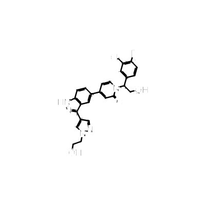 O=c1cc(-c2ccc3[nH]nc(-c4cnn(CCO)c4)c3c2)ccn1C(CO)c1ccc(F)c(Cl)c1